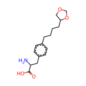 NC(Cc1ccc(CCCCC2COCO2)cc1)C(=O)O